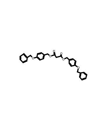 O=C(CC(=O)OCc1ccc(OCc2ccccc2)cc1)OCc1ccc(OCc2ccccc2)cc1